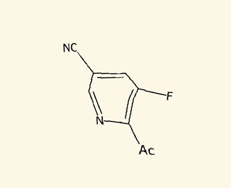 CC(=O)c1ncc(C#N)cc1F